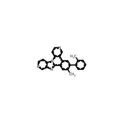 Cc1ccccc1-c1cc2c3cnccc3n3c4ccncc4nc3c2cc1C